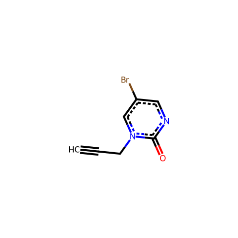 C#CCn1cc(Br)cnc1=O